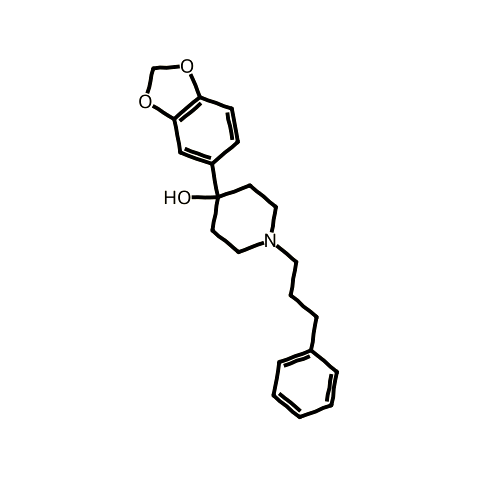 OC1(c2ccc3c(c2)OCO3)CCN(CCCc2ccccc2)CC1